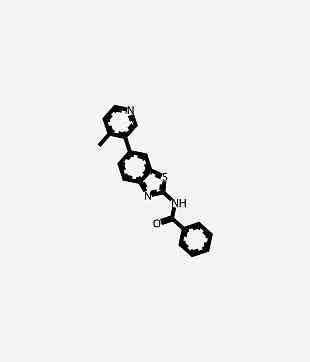 Cc1ccncc1-c1ccc2nc(NC(=O)c3ccccc3)sc2c1